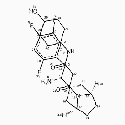 N[C@H](Cc1cc(F)c(F)cc1F)[C@@H]1C[C@H]2CC[C@@H](C1)N2C(=O)CC(=O)NC1CCC(O)CC1